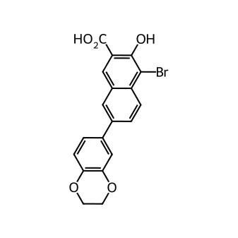 O=C(O)c1cc2cc(-c3ccc4c(c3)OCCO4)ccc2c(Br)c1O